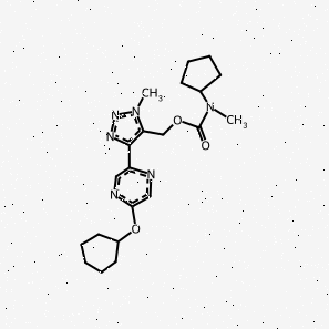 CN(C(=O)OCc1c(-c2cnc(OC3CCCCC3)cn2)nnn1C)C1CCCC1